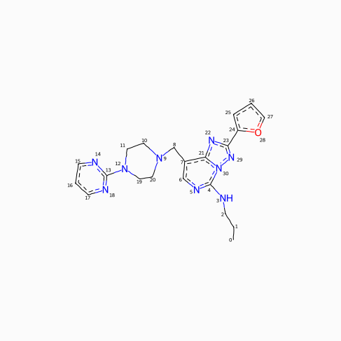 CCCNc1ncc(CN2CCN(c3ncccn3)CC2)c2nc(-c3ccco3)nn12